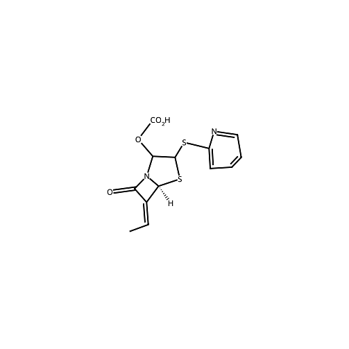 CC=C1C(=O)N2C(OC(=O)O)C(Sc3ccccn3)S[C@@H]12